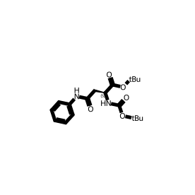 CC(C)(C)OC(=O)N[C@@H](CC(=O)Nc1ccccc1)C(=O)OC(C)(C)C